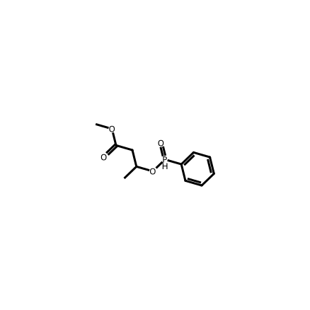 COC(=O)CC(C)O[PH](=O)c1ccccc1